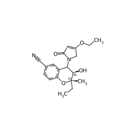 CCOC1=CC(=O)N(C2c3cc(C#N)ccc3O[C@@](C)(CC)[C@@H]2O)C1